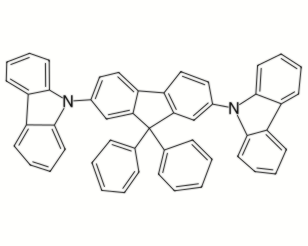 c1ccc(C2(c3ccccc3)c3cc(-n4c5ccccc5c5ccccc54)ccc3-c3ccc(-n4c5ccccc5c5ccccc54)cc32)cc1